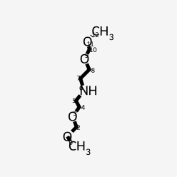 COCOCCNCCOCOC